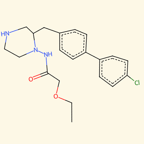 CCOCC(=O)NN1CCNCC1Cc1ccc(-c2ccc(Cl)cc2)cc1